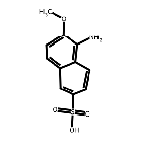 COc1ccc2cc(S(=O)(=O)O)ccc2c1N